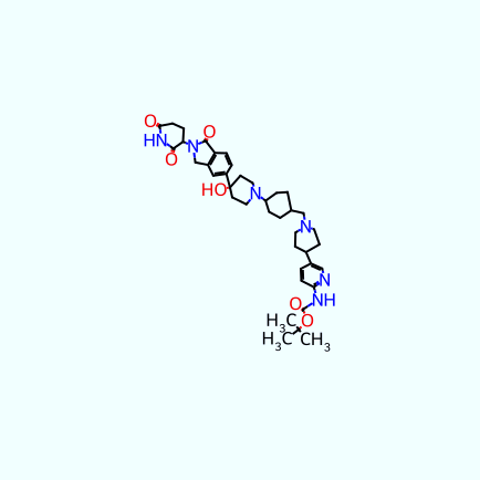 CC(C)(C)OC(=O)Nc1ccc(C2CCN(CC3CCC(N4CCC(O)(c5ccc6c(c5)CN(C5CCC(=O)NC5=O)C6=O)CC4)CC3)CC2)cn1